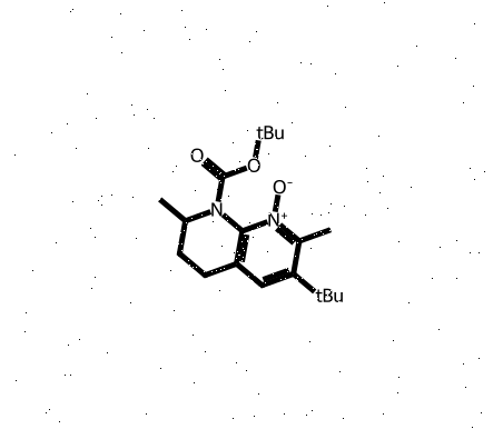 Cc1c(C(C)(C)C)cc2c([n+]1[O-])N(C(=O)OC(C)(C)C)C(C)CC2